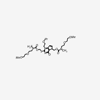 COCCOCCN(C)C(=O)OCSc1nc(=O)c2c(n1CCOC(C)C)C=CC2COC(=O)N(C)CCOCCOC